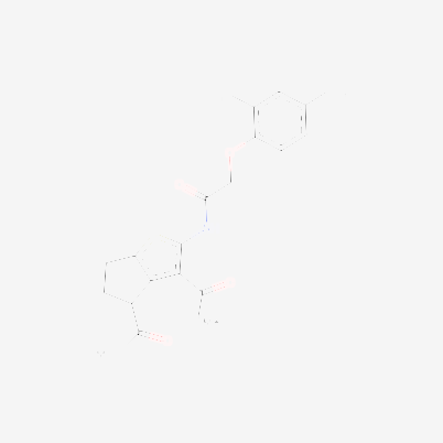 COC(=O)c1c(NC(=O)COc2ccc(C)cc2C)sc2c1C(C(=O)OC)CC2